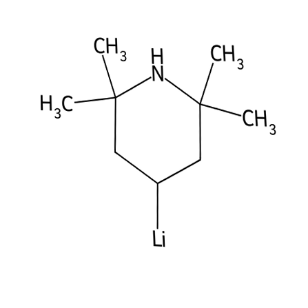 [Li][CH]1CC(C)(C)NC(C)(C)C1